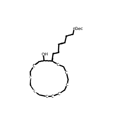 CCCCCCCCCCCCCCCCC1CCCCCCCCCCCCCCCCC1O